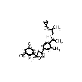 C=C(CNC(=C)c1ccc(C2=NOC(c3cc(Cl)cc(Cl)c3)(C(F)(F)F)C2)cc1C)NC1CC1